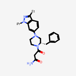 CCc1nn(C(C)C)c2cc(N3CCN(C(=O)CC(N)=O)[C@@H](Cc4ccccc4)C3)ccc12